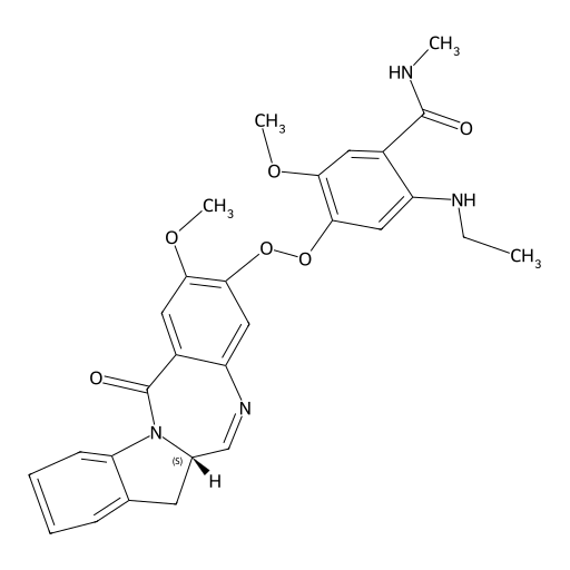 CCNc1cc(OOc2cc3c(cc2OC)C(=O)N2c4ccccc4C[C@H]2C=N3)c(OC)cc1C(=O)NC